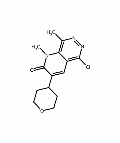 Cc1nnc(Cl)c2cc(C3CCOCC3)c(=O)n(C)c12